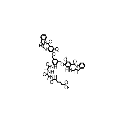 COC(=O)CCCCC(=O)N[C@@H](C)C(=O)N[C@H](C)C(=O)Nc1cc(COc2cc3c(cc2OC)C(=O)N2c4ccccc4C[C@H]2C=N3)cc(COc2cc3c(cc2OC)C(=O)N2c4ccccc4C[C@H]2CN3)c1